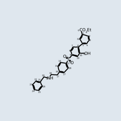 CCOC(=O)c1cccc(-c2ccc(S(=O)(=O)c3ccc(CCNCc4ccccc4)cc3)cc2O)c1